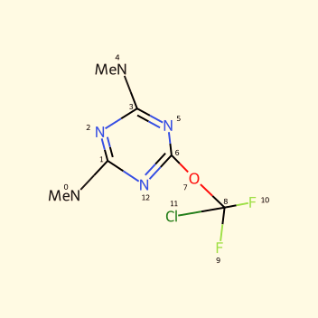 CNc1nc(NC)nc(OC(F)(F)Cl)n1